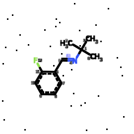 CC(C)(C)/N=C/c1ccccc1F